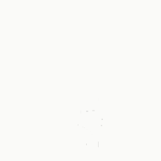 CC(C)CCCCCCCOC(=O)/C=C\C(=O)O